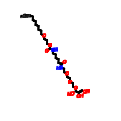 CCCCCCCCCCCCCCCCCCOCCCOC(=O)NCCCCCC(=O)NCCOCCOCCO[C@@H](O)/C(O)=C/O